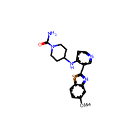 COc1ccc2sc(-c3cnccc3NC3CCN(C(N)=O)CC3)nc2c1